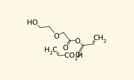 C=CC(=O)O.C=CC(=O)OC(=O)COCCO